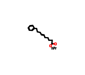 CCCOC(=O)CCCCC=CCCCc1ccccc1